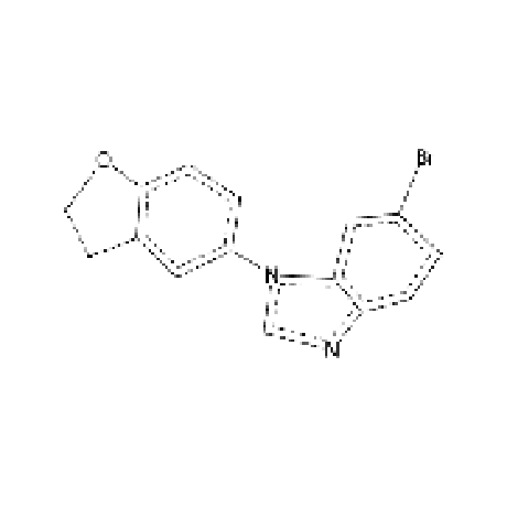 Brc1ccc2ncn(-c3ccc4c(c3)CCO4)c2c1